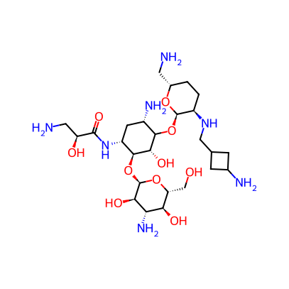 NC[C@@H]1CC[C@@H](NCC2CC(N)C2)[C@@H](OC2[C@@H](N)C[C@@H](NC(=O)[C@@H](O)CN)[C@H](O[C@H]3O[C@H](CO)[C@@H](O)[C@H](N)[C@H]3O)[C@H]2O)O1